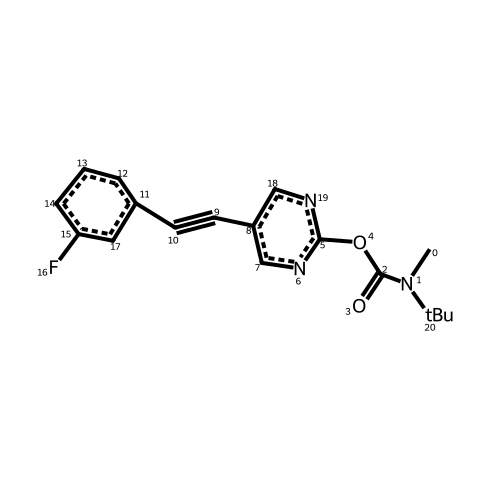 CN(C(=O)Oc1ncc(C#Cc2cccc(F)c2)cn1)C(C)(C)C